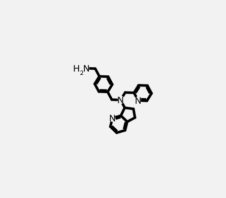 NCc1ccc(CN(Cc2ccccn2)C2CCc3cccnc32)cc1